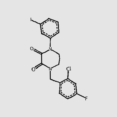 O=C1C(=O)N(c2cccc(I)c2)CCN1Cc1ccc(F)cc1Cl